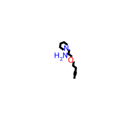 CC#CCCCOCC(N)CN1CCCCC1